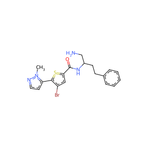 Cn1nccc1-c1sc(C(=O)NC(CN)CCc2ccccc2)cc1Br